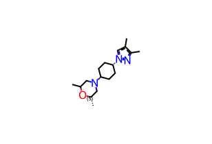 Cc1cn([C@H]2CC[C@H](N3CC(C)O[C@@H](C)C3)CC2)nc1C